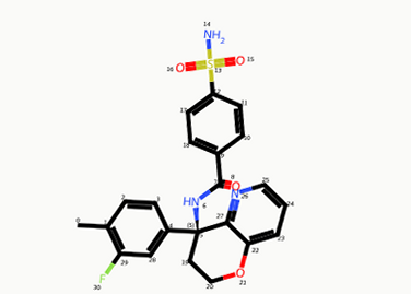 Cc1ccc([C@@]2(NC(=O)c3ccc(S(N)(=O)=O)cc3)CCOc3cccnc32)cc1F